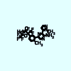 Cc1ccc(C(OC(=O)C(F)(F)F)(C(N)=O)C(F)(F)F)cc1-c1cnc(N)c(-c2ccnn2C)n1